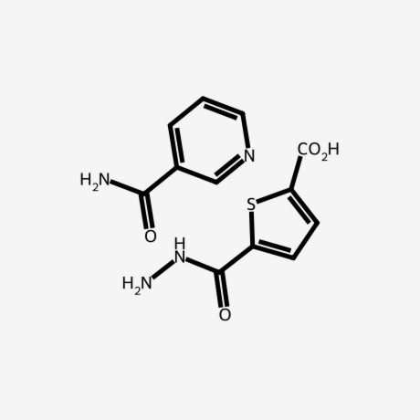 NC(=O)c1cccnc1.NNC(=O)c1ccc(C(=O)O)s1